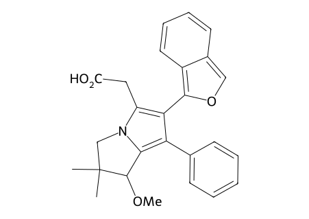 COC1c2c(-c3ccccc3)c(-c3occ4ccccc34)c(CC(=O)O)n2CC1(C)C